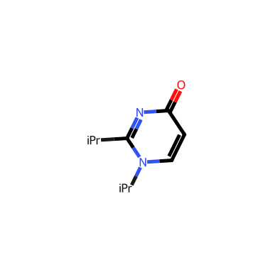 CC(C)c1nc(=O)ccn1C(C)C